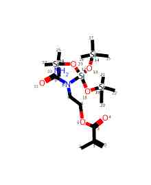 C=C(C)C(=O)OCCN(C(N)=O)[Si](O[Si](C)(C)C)(O[Si](C)(C)C)O[Si](C)(C)C